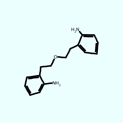 Nc1ccccc1CCOCCc1ccccc1N